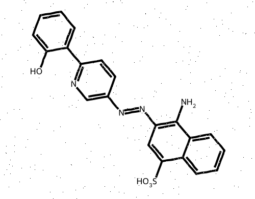 Nc1c(N=Nc2ccc(-c3ccccc3O)nc2)cc(S(=O)(=O)O)c2ccccc12